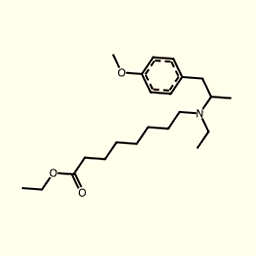 CCOC(=O)CCCCCCCN(CC)C(C)Cc1ccc(OC)cc1